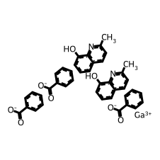 Cc1ccc2cccc(O)c2n1.Cc1ccc2cccc(O)c2n1.O=C([O-])c1ccccc1.O=C([O-])c1ccccc1.O=C([O-])c1ccccc1.[Ga+3]